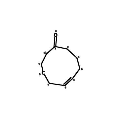 O=C1CCCC=CCCCC1